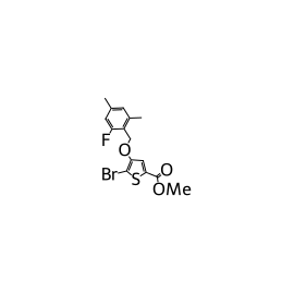 COC(=O)c1cc(OCc2c(C)cc(C)cc2F)c(Br)s1